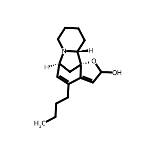 CCCCC1=C[C@@H]2C[C@@]3(OC(O)C=C13)[C@H]1CCCCN21